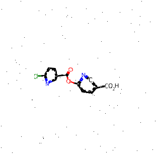 O=C(O)c1ccc(OC(=O)c2ccc(Cl)nc2)nc1